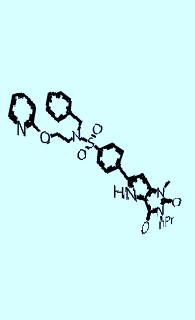 CCCn1c(=O)c2[nH]c(-c3ccc(S(=O)(=O)N(CCOc4ccccn4)Cc4ccccc4)cc3)cc2n(C)c1=O